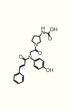 O=C(O)NC1CCN(C(=O)CN(C(=O)/C=C/c2ccccc2)c2ccc(O)cc2)C1